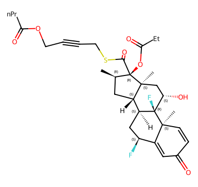 CCCC(=O)OCC#CCSC(=O)[C@@]1(OC(=O)CC)[C@H](C)C[C@H]2[C@@H]3C[C@H](F)C4=CC(=O)C=C[C@]4(C)[C@@]3(F)[C@@H](O)C[C@@]21C